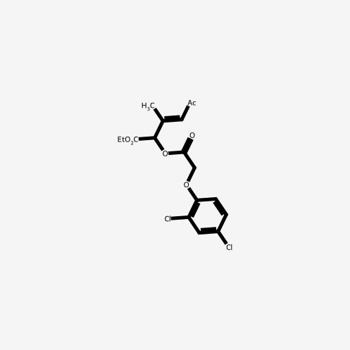 CCOC(=O)C(OC(=O)COc1ccc(Cl)cc1Cl)C(C)=CC(C)=O